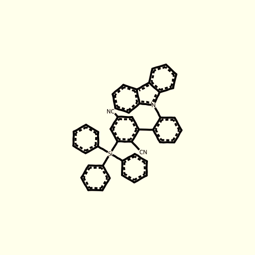 N#Cc1cc(-c2ccccc2-n2c3ccccc3c3ccccc32)c(C#N)c([Si](c2ccccc2)(c2ccccc2)c2ccccc2)c1